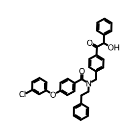 O=C(c1ccc(CN(CCc2ccccc2)C(=O)c2ccc(Oc3cccc(Cl)c3)cc2)cc1)C(O)c1ccccc1